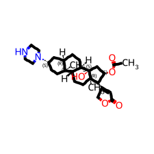 CC(=O)O[C@H]1C[C@]2(O)[C@@H]3CC[C@@H]4C[C@@H](N5CCNCC5)CC[C@]4(C)[C@H]3CC[C@]2(C)[C@H]1C1=CC(=O)OC1